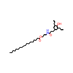 C=CCc1cc(CCC(=O)NC=CCOC(=O)CCCCCCCCCCCCCCCCC)cc(CC=C)c1O